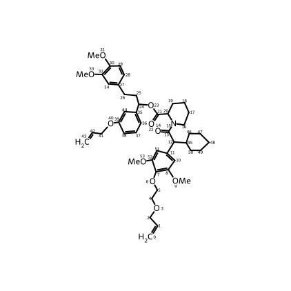 C=CCOCCOc1c(OC)cc(C(C(=O)N2CCCCC2C(=O)OC(CCc2ccc(OC)c(OC)c2)c2cccc(OCC=C)c2)C2CCCCC2)cc1OC